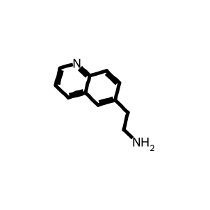 NCCc1ccc2ncccc2c1